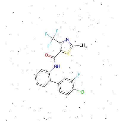 Cc1nc(C(F)(F)F)c(C(=O)Nc2ccccc2-c2ccc(Cl)c(F)c2)s1